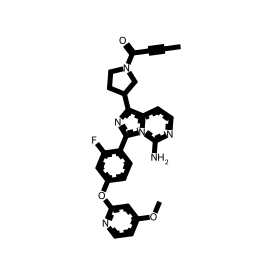 CC#CC(=O)N1CCC(c2nc(-c3ccc(Oc4cc(OC)ccn4)cc3F)n3c(N)nccc23)C1